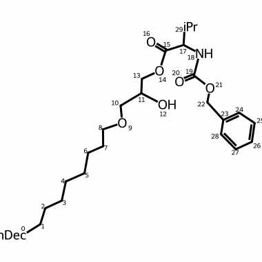 CCCCCCCCCCCCCCCCCCOCC(O)COC(=O)C(NC(=O)OCc1ccccc1)C(C)C